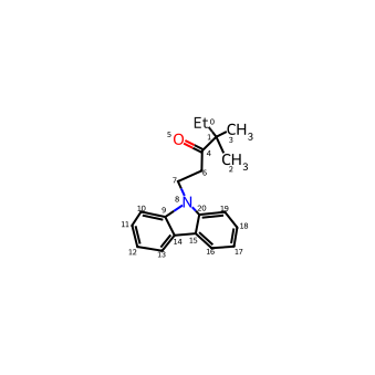 CCC(C)(C)C(=O)CCn1c2ccccc2c2ccccc21